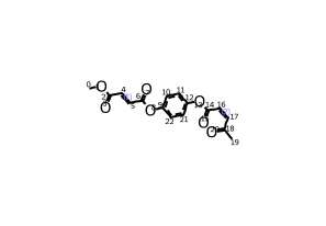 COC(=O)/C=C/C(=O)Oc1ccc(OC(=O)/C=C\C(C)=O)cc1